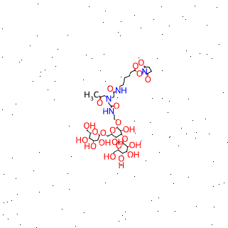 CC(=O)CN(CC(=O)NCCCCCC(=O)ON1C(=O)CCC1=O)CC(=O)NCCO[C@H]1O[C@H](CO[C@H]2O[C@H](CO)[C@@H](O)[C@H](O)[C@@H]2O)[C@@H](O)[C@H](O[C@H]2O[C@H](CO)[C@@H](O)[C@H](O)[C@@H]2O)[C@@H]1O